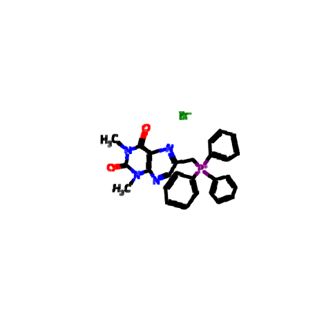 Cn1c(=O)c2nc(C[P+](c3ccccc3)(c3ccccc3)c3ccccc3)cnc2n(C)c1=O.[Br-]